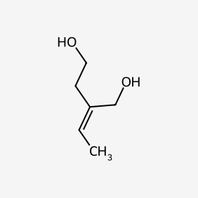 CC=C(CO)CCO